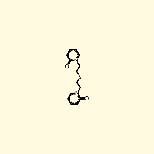 O=c1ccccn1CCSCCn1ccccc1=O